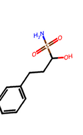 NS(=O)(=O)C(O)CCc1ccccc1